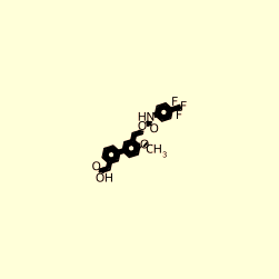 COc1ccc(-c2cccc(CC(=O)O)c2)cc1CCOC(=O)Nc1ccc(C(F)(F)F)cc1